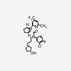 Cc1cc(C(F)(F)F)cc(N2[C@@H]3CC[C@@H](C3)[C@H]2C(=O)N(CCCN2CC[C@H](O)C2)c2ccc(F)c(Cl)c2)n1